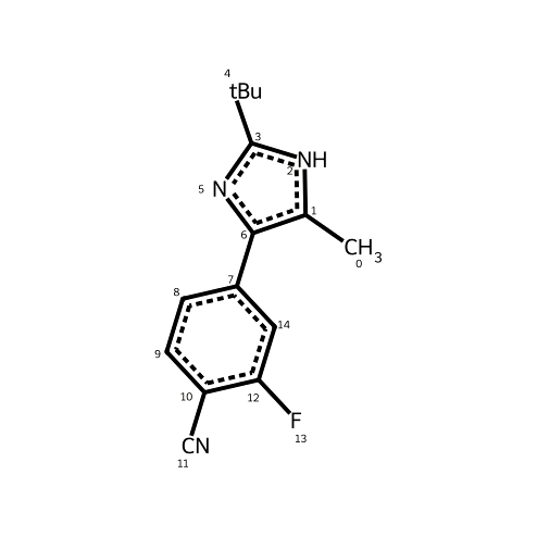 Cc1[nH]c(C(C)(C)C)nc1-c1ccc(C#N)c(F)c1